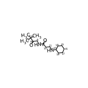 CC(C)(C)C(=O)CNC(=O)CCNC1CCCCC1